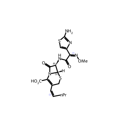 CCC/C=C\C1=C(C(=O)O)N2C(=O)[C@@H](NC(=O)/C(=N\OC)c3csc(N)n3)[C@@H]2SC1